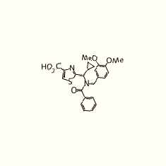 COc1ccc(CN(C(=O)c2ccccc2)C(c2nc(C(=O)O)cs2)C2CC2)cc1OC